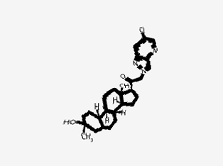 C[C@@]1(O)CC[C@H]2C(CC[C@@H]3[C@@H]2CC[C@]2(C)[C@@H](C(=O)Cn4cc5ncc(Cl)cc5n4)CC[C@@H]32)C1